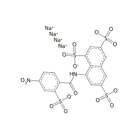 O=C(Nc1cc(S(=O)(=O)[O-])cc2cc(S(=O)(=O)[O-])cc(S(=O)(=O)[O-])c12)c1ccc([N+](=O)[O-])cc1S(=O)(=O)[O-].[Na+].[Na+].[Na+].[Na+]